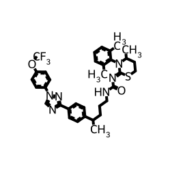 Cc1cccc(C)c1N1/C(=N/C(=O)NCCCC(C)c2ccc(-c3ncn(-c4ccc(OC(F)(F)F)cc4)n3)cc2)SCCC1C